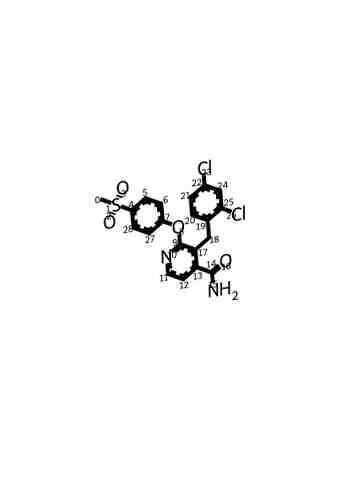 CS(=O)(=O)c1ccc(Oc2nccc(C(N)=O)c2Cc2ccc(Cl)cc2Cl)cc1